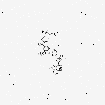 CCc1cccc(CC)c1NC(=O)c1cc(-c2ccnc(Nc3ccc(C(=O)N4CCC(N(C)C)CC4)cc3C)n2)n(C)c1